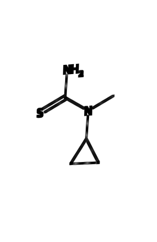 CN(C(N)=S)C1CC1